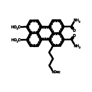 CCCCCCCCCCCCCc1cc(C(N)=O)c2c(C(N)=O)ccc3c4ccc(C(=O)O)c5c(C(=O)O)ccc(c1c23)c54